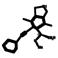 Cc1c(C#Cc2ccccc2)c([C@H](OC(C)(C)C)C(=O)O)c(C)c2c1CNC2